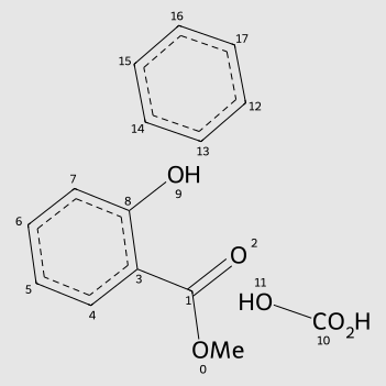 COC(=O)c1ccccc1O.O=C(O)O.c1ccccc1